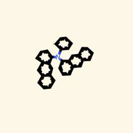 [c]1ccccc1N(c1cccc2cc3ccccc3cc12)c1cccc2cc3ccccc3cc12